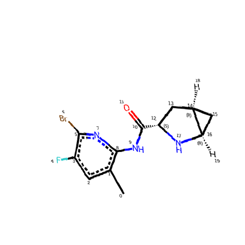 Cc1cc(F)c(Br)nc1NC(=O)[C@@H]1C[C@H]2C[C@H]2N1